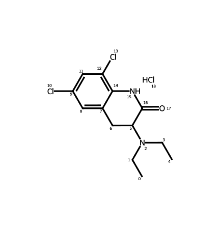 CCN(CC)C1Cc2cc(Cl)cc(Cl)c2NC1=O.Cl